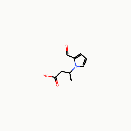 CC(CC(=O)O)n1cccc1C=O